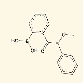 CON(C(=O)c1ccccc1B(O)O)c1ccccc1